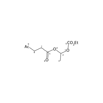 CCOC(=O)OC(C)OC(=O)CCC(C)=O